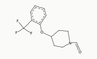 O=CN1CCC(Oc2ccccc2C(F)(F)F)CC1